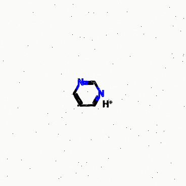 [H+].[c]1cncnc1